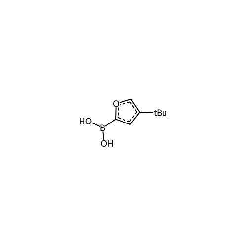 CC(C)(C)c1coc(B(O)O)c1